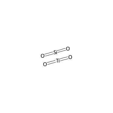 O=[Si]=O.[O]=[Ti]=[O]